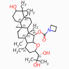 C[C@@H]1CC([C@H](O)C(C)(C)O)OC2C1[C@@]1(C)CC[C@@]34C[C@@]35CCC(O)C(C)(C)[C@@H]5CCC4[C@]1(C)[C@H]2OC(=O)N1CCC1